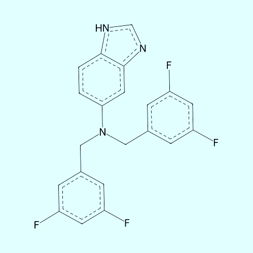 Fc1cc(F)cc(CN(Cc2cc(F)cc(F)c2)c2ccc3[nH]cnc3c2)c1